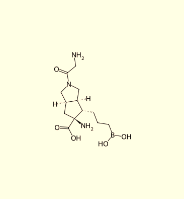 NCC(=O)N1C[C@@H]2C[C@@](N)(C(=O)O)[C@@H](CCCB(O)O)[C@@H]2C1